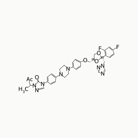 CC(=O)C(C)n1ncn(-c2ccc(N3CCN(c4ccc(OC[C@@H]5CO[C@@](Cn6cncn6)(c6ccc(F)cc6F)O5)cc4)CC3)cc2)c1=O